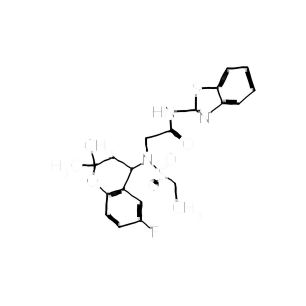 CCS(=O)(=O)N(CC(=O)Nc1nc2ccccc2s1)C1CC(C)(C)Oc2ccc(F)cc21